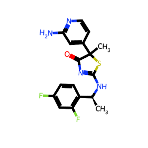 C[C@H](NC1=NC(=O)C(C)(c2ccnc(N)c2)S1)c1ccc(F)cc1F